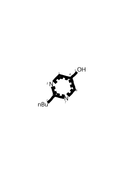 CCCCc1ncc(O)cn1